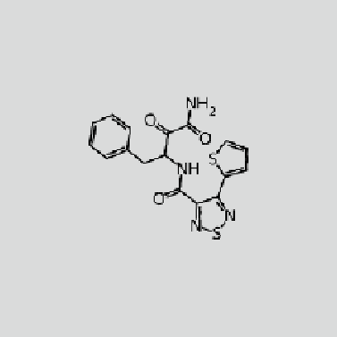 NC(=O)C(=O)C(Cc1ccccc1)NC(=O)c1nsnc1-c1cccs1